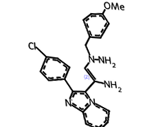 COc1ccc(CN(N)/C=C(\N)c2c(-c3ccc(Cl)cc3)nc3ccccn23)cc1